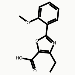 CCc1nc(-c2ccccc2OC)sc1C(=O)O